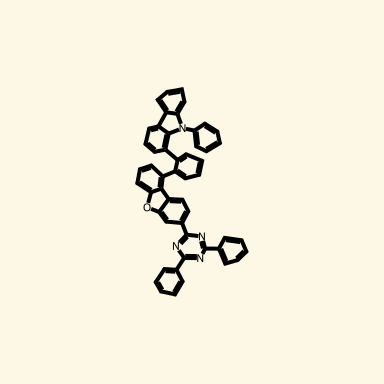 c1ccc(-c2nc(-c3ccccc3)nc(-c3ccc4c(c3)oc3cccc(-c5ccccc5-c5cccc6c7ccccc7n(-c7ccccc7)c56)c34)n2)cc1